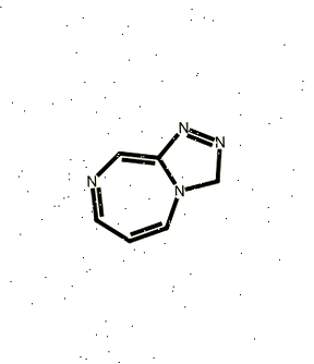 C1=CN2CN=NC2=CN=C1